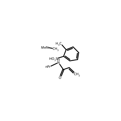 C=CC(=O)NCCC.CNC.Cc1ccccc1S(=O)(=O)O